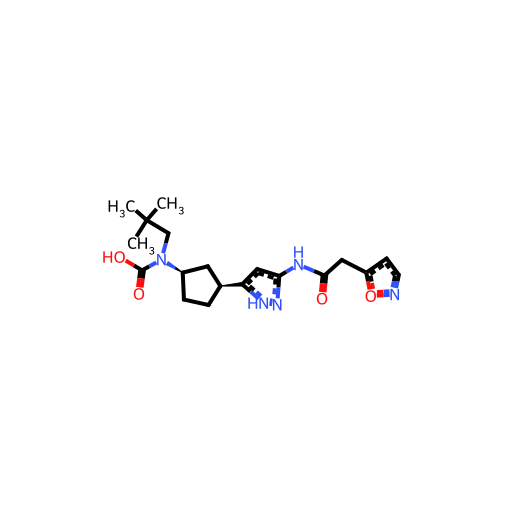 CC(C)(C)CN(C(=O)O)[C@@H]1CC[C@H](c2cc(NC(=O)Cc3ccno3)n[nH]2)C1